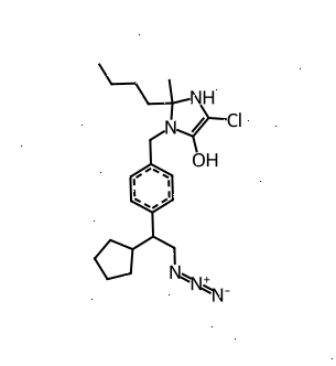 CCCCC1(C)NC(Cl)=C(O)N1Cc1ccc(C(CN=[N+]=[N-])C2CCCC2)cc1